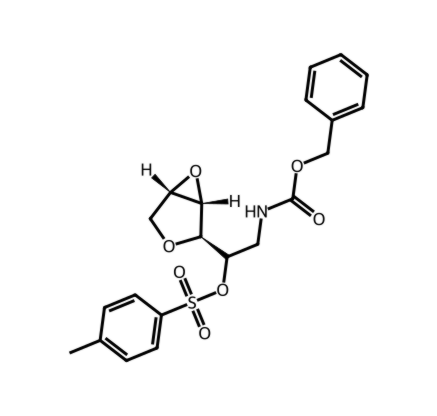 Cc1ccc(S(=O)(=O)OC(CNC(=O)OCc2ccccc2)[C@H]2OC[C@@H]3O[C@@H]32)cc1